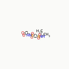 CCCC(CC)NS(=O)(=O)c1ccc(S(=O)(=O)NCc2ccc3c(c2)OCO3)cc1